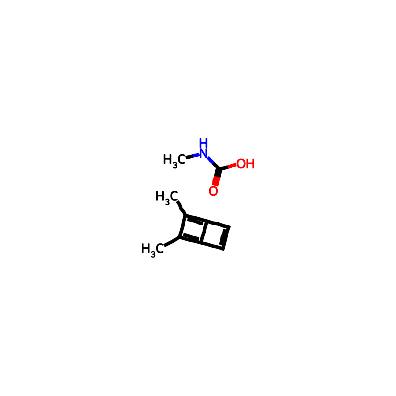 CNC(=O)O.Cc1c2ccc-2c1C